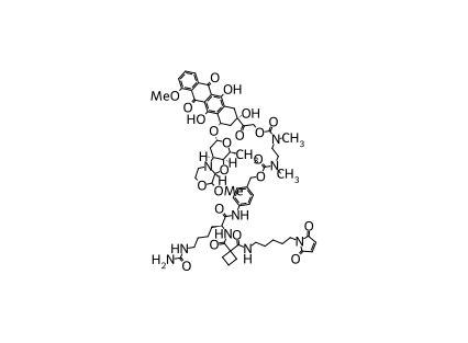 COc1cccc2c1C(=O)c1c(O)c3c(c(O)c1C2=O)C[C@@](O)(C(=O)COC(=O)N(C)CCN(C)C(=O)OCc1ccc(NC(=O)[C@H](CCCCNC(N)=O)NC(=O)C2(C(=O)NCCCCCN4C(=O)C=CC4=O)CCC2)cc1)C[C@@H]3O[C@H]1C[C@H]2[C@H](O[C@@H]3[C@@H](OC)OCCN32)[C@H](C)O1